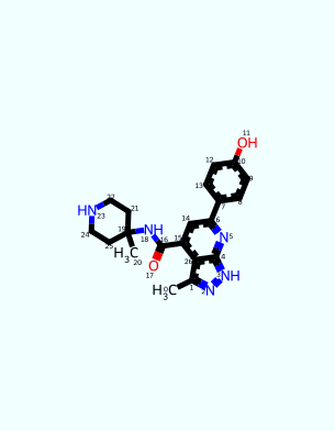 Cc1n[nH]c2nc(-c3ccc(O)cc3)cc(C(=O)NC3(C)CCNCC3)c12